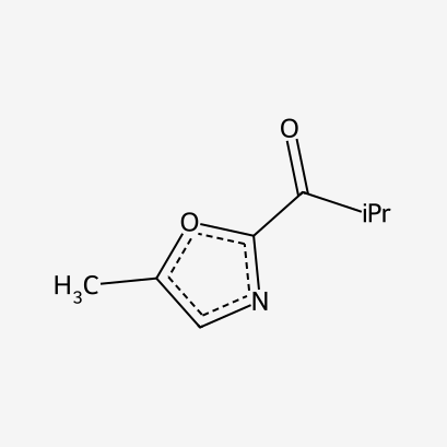 Cc1cnc(C(=O)C(C)C)o1